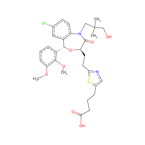 COc1cccc([C@H]2O[C@H](CCc3ncc(CCCC(=O)O)s3)C(=O)N(CC(C)(C)CO)c3ccc(Cl)cc32)c1OC